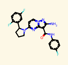 Nc1nn2ccc(N3CCCC3c3cc(F)ccc3F)nc2c1C(=O)Nc1ccc(F)cc1